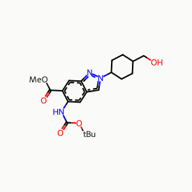 COC(=O)c1cc2nn(C3CCC(CO)CC3)cc2cc1NC(=O)OC(C)(C)C